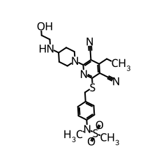 CCc1c(C#N)c(SCc2ccc(N(C)S(C)(=O)=O)cc2)nc(N2CCC(NCCO)CC2)c1C#N